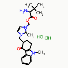 CC1N(COC(=O)C(N)C(C)(C)C)C=CN1CC1CCc2c(c3ccccc3n2C)C1=O.Cl.Cl